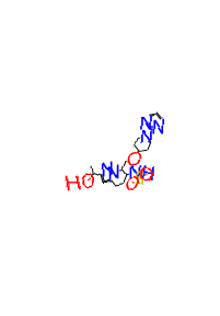 CC(O)c1cc2n(n1)C(COC1CCN(c3ncccn3)CC1)C(NS(C)(=O)=O)CC2